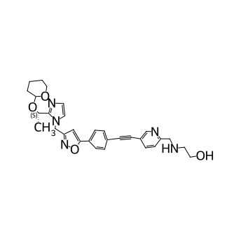 C[C@H](OC1CCCCO1)c1nccn1Cc1cc(-c2ccc(C#Cc3ccc(CNCCO)nc3)cc2)on1